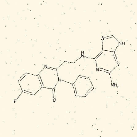 Nc1nc(NCCc2nc3ccc(F)cc3c(=O)n2-c2ccccc2)c2nc[nH]c2n1